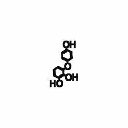 Oc1ccc(Oc2cccc(O)c2O)cc1